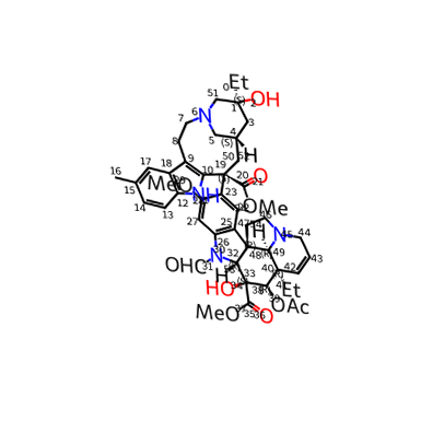 CC[C@]1(O)C[C@H]2CN(CCc3c([nH]c4ccc(C)cc34)[C@@](C(=O)OC)(c3cc4c(cc3OC)N(C=O)[C@H]3[C@@](O)(C(=O)OC)[C@H](OC(C)=O)[C@]5(CC)C=CCN6CC[C@]43[C@@H]65)C2)C1